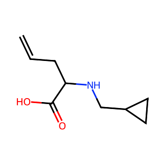 C=CCC(NCC1CC1)C(=O)O